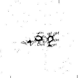 CCCCCCCCCCCO[C@@H]1O[C@H](CO)[C@@H](O[C@H]2O[C@H](CO)[C@@H](O)[C@H](O)[C@@H]2O)[C@H](O)[C@@H]1O